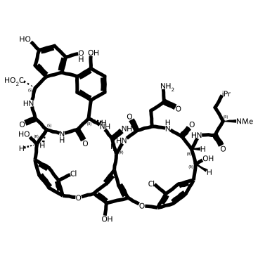 CN[C@H](CC(C)C)C(=O)N[C@H]1C(=O)NC(CC(N)=O)C(=O)N[C@H]2C(=N)N[C@H]3C(=O)N[C@H](C(=O)N[C@H](C(=O)O)c4cc(O)cc(O)c4-c4cc3ccc4O)[C@H](O)c3ccc(c(Cl)c3)Oc3cc2cc(c3O)Oc2ccc(cc2Cl)[C@H]1O